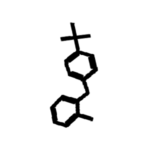 Cc1ccccc1Cc1ccc(C(C)(C)C)cc1